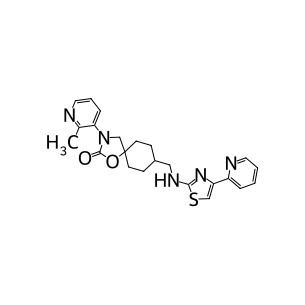 Cc1ncccc1N1CC2(CCC(CNc3nc(-c4ccccn4)cs3)CC2)OC1=O